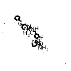 C=C(Cc1ccc(Oc2ncccc2C(N)=O)c(F)c1)Nc1nc2cc(OCc3ccccc3)ccn2n1